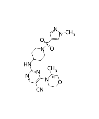 C[C@@H]1COCCN1c1nc(NC2CCN(S(=O)(=O)c3cnn(C)c3)CC2)ncc1C#N